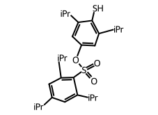 CC(C)c1cc(C(C)C)c(S(=O)(=O)Oc2cc(C(C)C)c(S)c(C(C)C)c2)c(C(C)C)c1